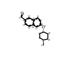 C[C@H]1CC[C@H](Oc2ccc3cc(C=O)ccc3c2)CC1